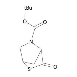 CC(C)(C)OC(=O)N1CC2CC1C(=O)S2